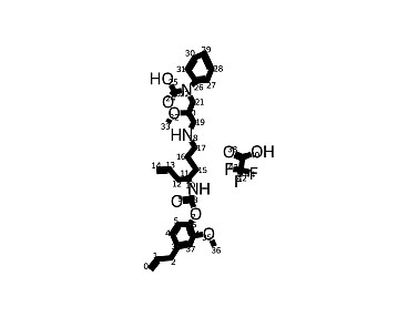 C=CCc1ccc(OC(=O)NC(CC=C)CCCNCC(CN(C(=O)O)c2ccccc2)OC)c(OC)c1.O=C(O)C(F)(F)F